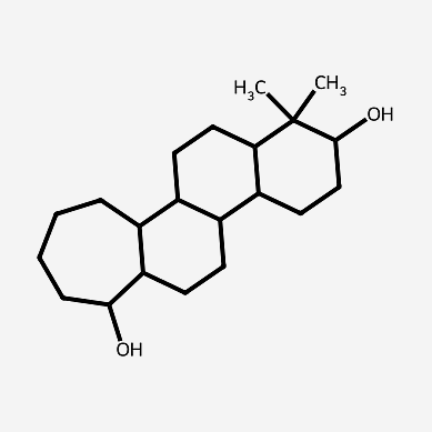 CC1(C)C(O)CCC2C3CCC4C(O)CCCCC4C3CCC21